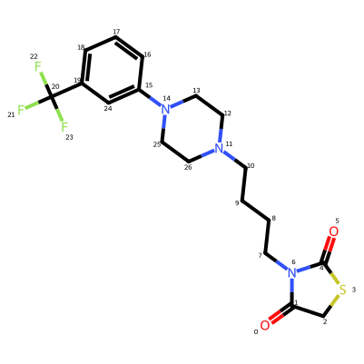 O=C1CSC(=O)N1CCCCN1CCN(c2cccc(C(F)(F)F)c2)CC1